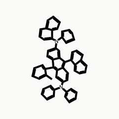 Cc1ccccc1-c1c2cc(N(c3ccccc3)c3ccccc3)ccc2c(-c2cccc3ccccc23)c2cc(N(c3ccccc3)c3cccc4ccccc34)ccc12